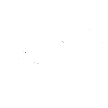 O=S(=O)(NCCc1nc2ccccc2[nH]1)c1ccccc1Cl